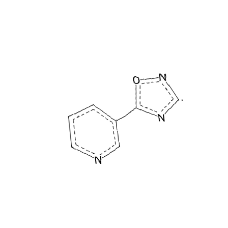 [c]1noc(-c2cccnc2)n1